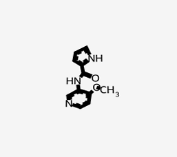 COc1ccncc1NC(=O)c1ccc[nH]1